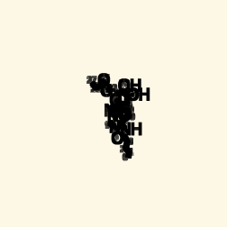 CCCCC(=O)Nc1ncnn2c([C@@]3(C#N)C[C@H](O)[C@H](O)[C@@H](COC(=O)CC)O3)ccc12